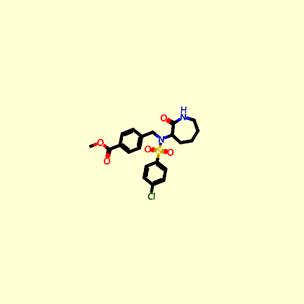 COC(=O)c1ccc(CN(C2CCCCNC2=O)S(=O)(=O)c2ccc(Cl)cc2)cc1